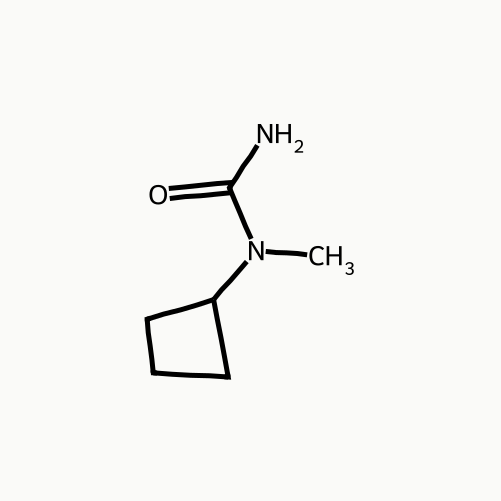 CN(C(N)=O)C1CCC1